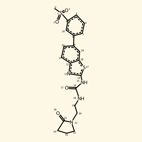 CS(=O)(=O)c1cccc(-c2ccc3nc(NC(=O)NCCN4CCCC4=O)sc3c2)c1